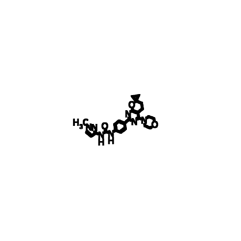 Cn1ccc(NC(=O)Nc2ccc(-c3nc4c(c(N5CCOCC5)n3)CCC3(CC3)O4)cc2)n1